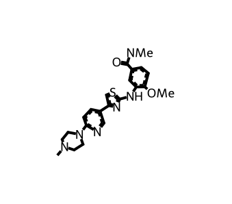 CNC(=O)c1ccc(OC)c(Nc2nc(-c3ccc(N4CCN(C)CC4)nc3)cs2)c1